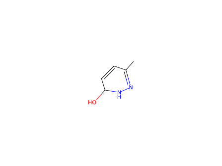 CC1=NNC(O)C=C1